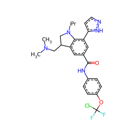 CC(C)N1CC(CN(C)C)c2cc(C(=O)Nc3ccc(OC(F)(F)Cl)cc3)cc(-c3ccn[nH]3)c21